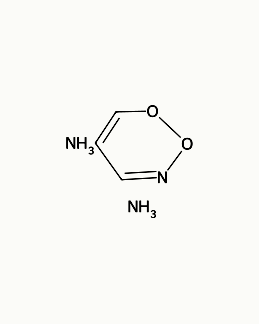 C1=COON=C1.N.N